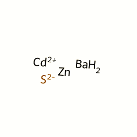 [BaH2].[Cd+2].[S-2].[Zn]